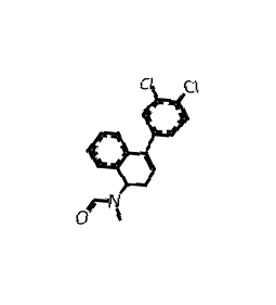 CN(C=O)C1CC=C(c2ccc(Cl)c(Cl)c2)c2ccccc21